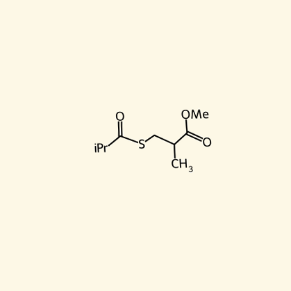 COC(=O)C(C)CSC(=O)C(C)C